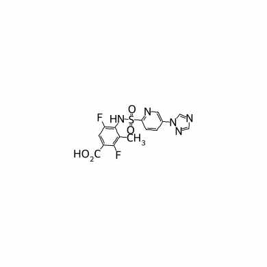 Cc1c(F)c(C(=O)O)cc(F)c1NS(=O)(=O)c1ccc(-n2cncn2)cn1